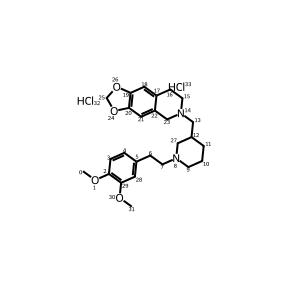 COc1ccc(CCN2CCCC(CN3CCc4cc5c(cc4C3)OCO5)C2)cc1OC.Cl.Cl